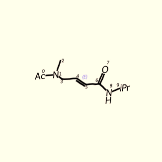 CC(=O)N(C)C/C=C/C(=O)NC(C)C